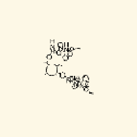 C=CCOC(=O)N[C@H](C(=O)N1CCC[C@H]1c1nc(-c2ccc(/C3=C/C(=C\C)CCC(=C(/C)c4ccc(-c5c[nH]c([C@@H]6CCCN6C(=O)[C@@H](NC(=O)OCC=C)c6ccccc6)n5)cc4)/C=C\[C@H](C)CC[C@H]3C)cc2)c[nH]1)c1ccccc1